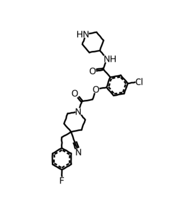 N#CC1(Cc2ccc(F)cc2)CCN(C(=O)COc2ccc(Cl)cc2C(=O)NC2CCNCC2)CC1